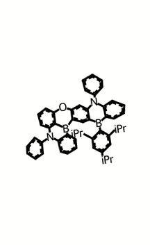 CC(C)c1cc(C(C)C)c(B2c3ccccc3N(c3ccccc3)c3cc4c(cc32)B2c3ccccc3N(c3ccccc3)c3cccc(c32)O4)c(C(C)C)c1